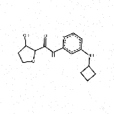 O=C(Nc1cc(NC2CCC2)ccn1)C1OCCC1O